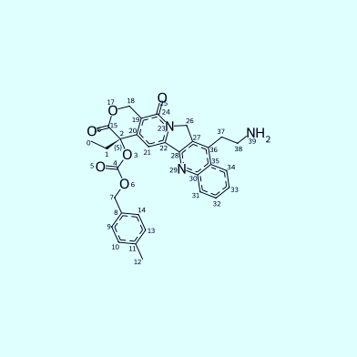 CC[C@@]1(OC(=O)OCc2ccc(C)cc2)C(=O)OCc2c1cc1n(c2=O)Cc2c-1nc1ccccc1c2CCN